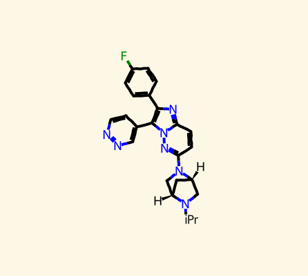 CC(C)N1C[C@@H]2C[C@H]1CN2c1ccc2nc(-c3ccc(F)cc3)c(-c3ccnnc3)n2n1